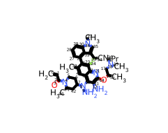 C=CC(=O)N1CCC(N(N)c2c(N)c(OC(C)CN(C)CCC)nc3c(F)c(-c4cccc5c4c(CC#N)cn5C)c(C)cc23)C[C@H]1C